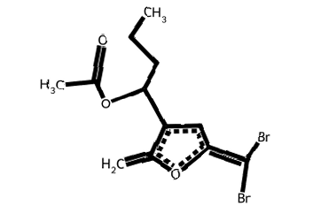 C=c1oc(=C(Br)Br)cc1C(CCC)OC(C)=O